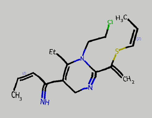 C=C(S/C=C\C)C1=NCC(C(=N)/C=C\C)=C(CC)N1CCCl